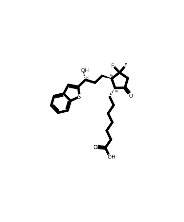 O=C(O)CCCCCC[C@H]1C(=O)CC(F)(F)[C@@H]1CC[C@@H](O)c1cc2ccccc2s1